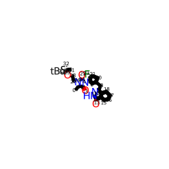 CC1C(=O)N(c2cc(Cc3n[nH]c(=O)c4ccccc34)ccc2F)C(=O)N1CCO[Si](C)(C)C(C)(C)C